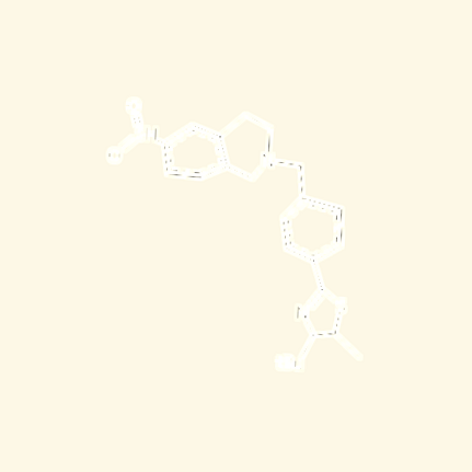 CC1SC(c2ccc(CN3CCc4cc([SH](=O)=O)ccc4C3)cc2)=NC1C(C)(C)C